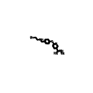 CC(C)CCNCc1ccc(Oc2ccc(C(=N)NC#N)cn2)cc1